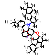 [2H]c1c([2H])c([2H])c(-c2c([2H])c([2H])c([2H])c(Oc3cc(N(c4ccc(C(C)(C)C)cc4-c4ccccc4)c4c([2H])c([2H])c([2H])c(-c5c([2H])c([2H])c([2H])c([2H])c5[2H])c4[2H])c([2H])c(I)c3[2H])c2[2H])c([2H])c1[2H]